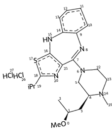 CO[C@@H](C)C[C@H]1CN(C2=Nc3ccccc3Nc3sc(C(C)C)nc32)CCN1C.Cl.Cl